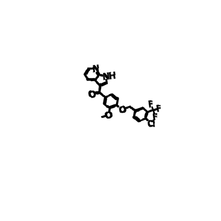 COc1cc(C(=O)c2c[nH]c3ncccc23)ccc1OCc1ccc(Cl)c(C(F)(F)F)c1